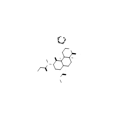 CCC(=O)N(C)[C@@H]1C[C@@H](C(=O)OC)[C@]2(C)CC[C@H]3C(=O)O[C@@H](c4ccoc4)C[C@]3(C)[C@H]2C1=O